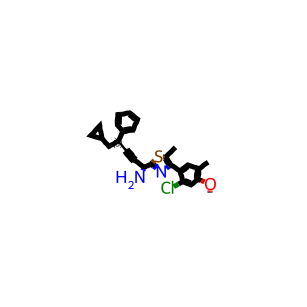 COc1cc(Cl)c(-c2nc(C(N)C#C[C@@H](CC3CC3)c3ccccc3)sc2C)cc1C